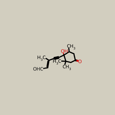 CC(C#CC1(O)C(C)CC(=O)CC1(C)C)=CC=O